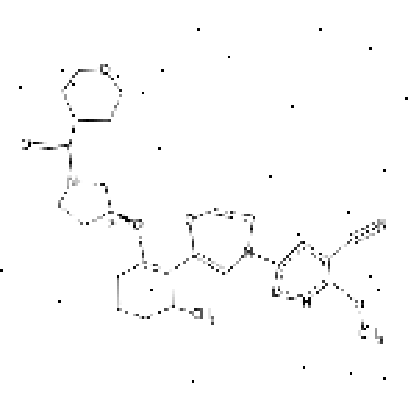 COc1ncc(N2C=COC(C3=C(O[C@H]4CCN(C(=O)C5CCOCC5)C4)C=CCC3C)=C2)cc1C#N